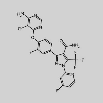 NC(=O)c1c(-c2ccc(Oc3ncnc(N)c3Cl)c(F)c2)nn(-c2cc(F)ccn2)c1C(F)(F)F